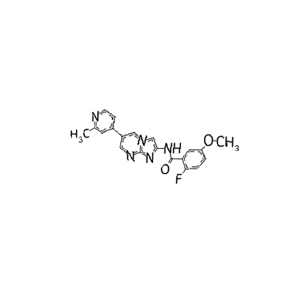 COc1ccc(F)c(C(=O)Nc2cn3cc(-c4ccnc(C)c4)cnc3n2)c1